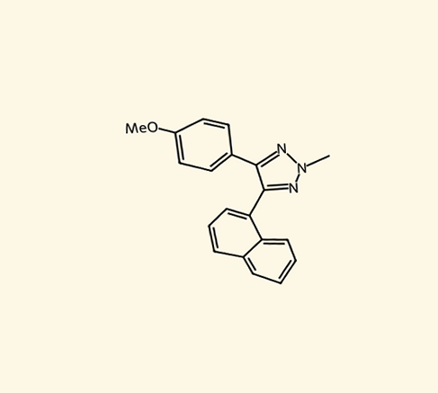 COc1ccc(-c2nn(C)nc2-c2cccc3ccccc23)cc1